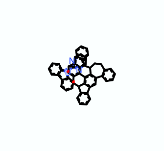 c1ccc2c(c1)CCC(c1nc(-n3c4ccccc4c4ccccc43)nc3ccccc13)c1c-2cc2c3c1-c1c(ccc4ccccc14)CC3c1ccccc1-2